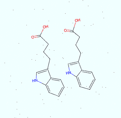 O=C(O)CCCc1c[nH]c2ccccc12.O=C(O)CCCc1c[nH]c2ccccc12